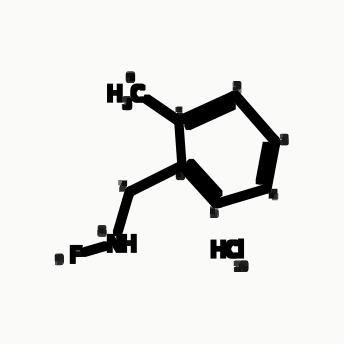 Cc1ccccc1CNF.Cl